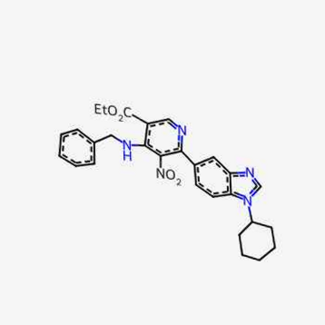 CCOC(=O)c1cnc(-c2ccc3c(c2)ncn3C2CCCCC2)c([N+](=O)[O-])c1NCc1ccccc1